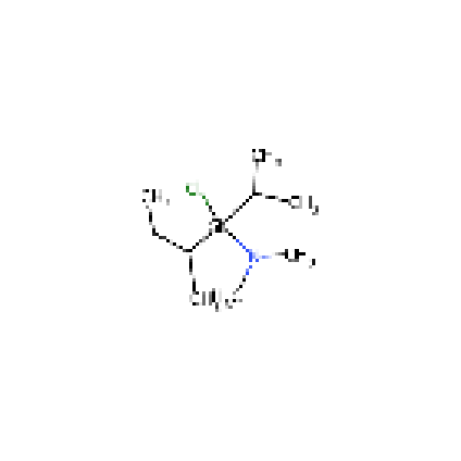 CCC(C)[Si](Cl)(C(C)C)N(C)C